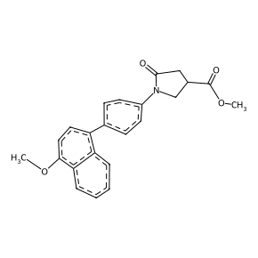 COC(=O)C1CC(=O)N(c2ccc(-c3ccc(OC)c4ccccc34)cc2)C1